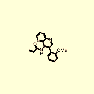 C=CC(=O)Nc1c(-c2ccccc2OC)cnc2cccnc12